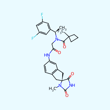 C[C@H](c1cc(F)cc(F)c1)N(CC(=O)Nc1ccc2c(c1)C[C@@]1(C2)C(=O)NC(=O)N1C)C(=O)C1(C(F)(F)F)CCC1